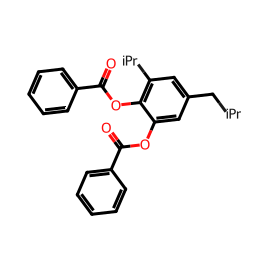 CC(C)Cc1cc(OC(=O)c2ccccc2)c(OC(=O)c2ccccc2)c(C(C)C)c1